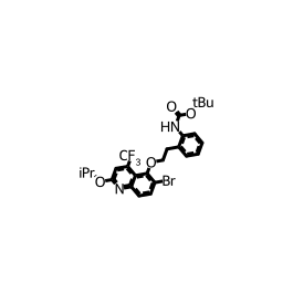 CC(C)Oc1cc(C(F)(F)F)c2c(OCCc3ccccc3NC(=O)OC(C)(C)C)c(Br)ccc2n1